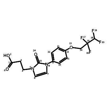 O=C(O)CCn1ccn(-c2ccc(OCC(F)(F)C(F)F)cc2)c1=O